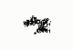 CN(C)CC(=O)NC(C(=O)Cc1ccc(-c2cccc(-c3cc4ccncc4[nH]3)c2O)cc1)C1(Cc2ccc(F)cc2)CCNCC1